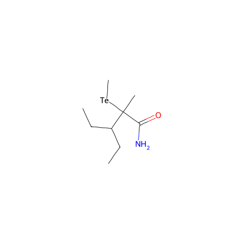 CCC(CC)C(C)([Te]C)C(N)=O